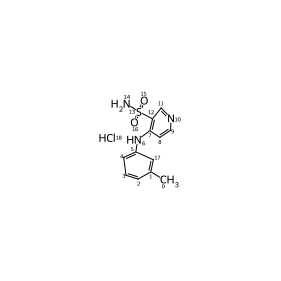 Cc1cccc(Nc2ccncc2S(N)(=O)=O)c1.Cl